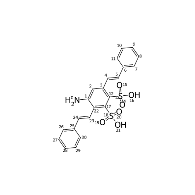 Nc1cc(C=Cc2ccccc2)c(S(=O)(=O)O)c(S(=O)(=O)O)c1C=Cc1ccccc1